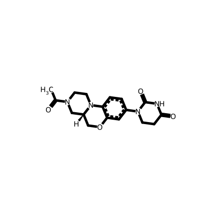 CC(=O)N1CCN2c3ccc(N4CCC(=O)NC4=O)cc3OC[C@@H]2C1